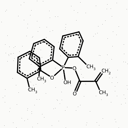 C=C(C)C(=O)OP(O)(Oc1ccccc1C)(c1ccccc1C)c1ccccc1C